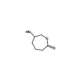 CCCCC1CCCC(=O)OC1